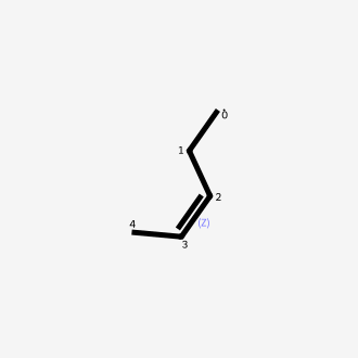 [CH2]C/C=C\C